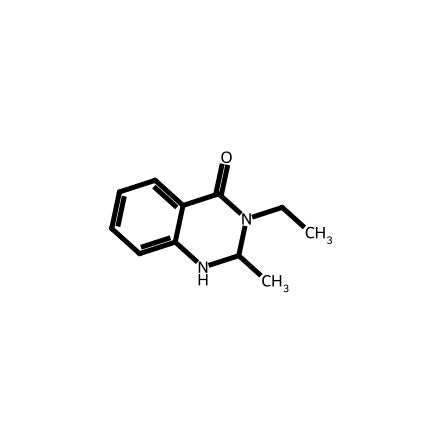 CCN1C(=O)c2ccccc2NC1C